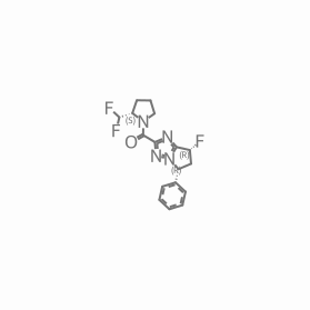 O=C(c1nc2n(n1)[C@@H](c1ccccc1)C[C@H]2F)N1CCC[C@H]1C(F)F